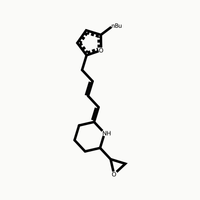 CCCCc1ccc(C/C=C/C=C2\CCCC(C3CO3)N2)o1